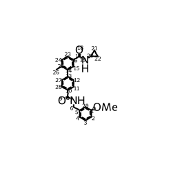 COc1cccc(CNC(=O)c2ccc(-c3cc(C(=O)NC4CC4)ccc3C)cc2)c1